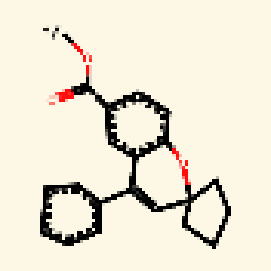 COC(=O)c1ccc2c(c1)C(c1ccccc1)=CC1(CCCC1)O2